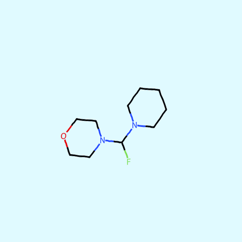 FC(N1CCCCC1)N1CCOCC1